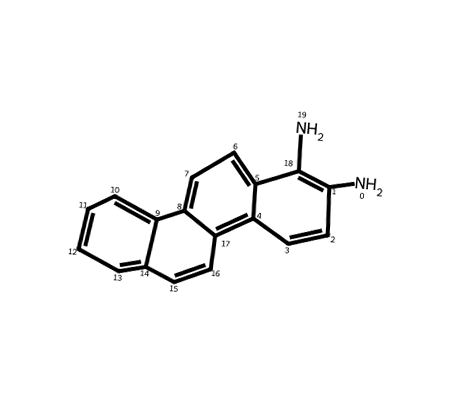 Nc1ccc2c(ccc3c4ccccc4ccc23)c1N